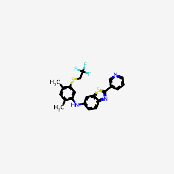 Cc1cc(C)c(SCC(F)(F)F)cc1Nc1ccc2nc(-c3cccnc3)sc2c1